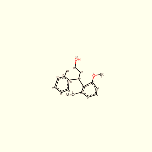 CCOc1cccc(OC)c1C(CCO)c1ccccc1C